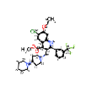 CCOc1cc2nc(-c3cccc(C(F)(F)F)c3)c(CN3CCC(N4CCCCC4)CC3)c(C(=O)OC)c2cc1Cl